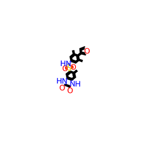 Cc1cc2[nH]c(=O)c(=O)[nH]c2cc1S(=O)(=O)Nc1cc(C)c(-c2ccoc2)c(C)c1